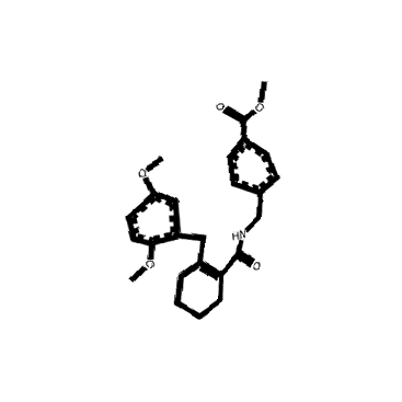 COC(=O)c1ccc(CNC(=O)C2=C(Cc3cc(OC)ccc3OC)CCCC2)cc1